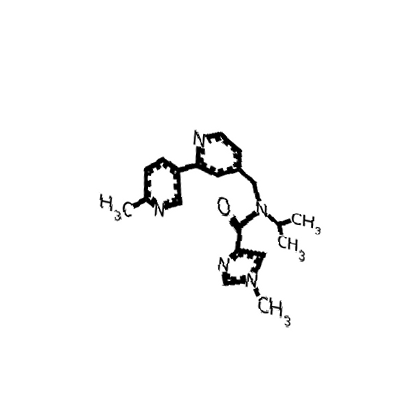 Cc1ccc(-c2cc(CN(C(=O)c3cn(C)cn3)C(C)C)ccn2)cn1